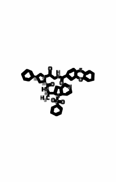 C[C@@H](NC(=O)[C@@H]1C[C@@H](c2ccccc2)CN1C(=O)CNC(=O)c1ccc2c(c1)Oc1ccccc1S2)c1cc2cnccc2n1S(=O)(=O)c1ccccc1